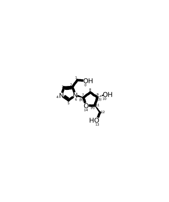 OCc1cncn1[C@H]1C[C@H](O)[C@@H](CO)O1